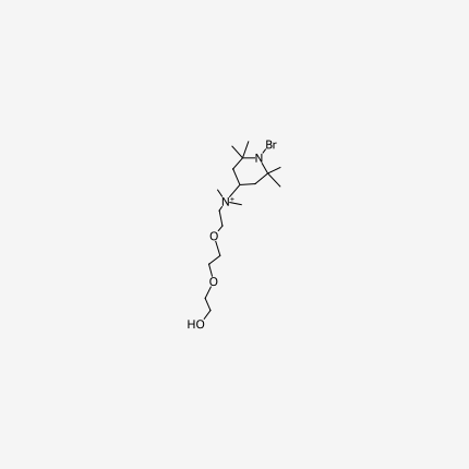 CC1(C)CC([N+](C)(C)CCOCCOCCO)CC(C)(C)N1Br